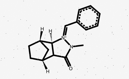 CN1C(=O)C2[C@@H]3CC[C@@H](C3)[C@H]2/[N+]1=C/c1ccccc1